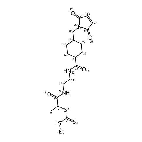 CCSC(=S)SC(C)C(=O)NCCNC(=O)C1CCC(CN2C(=O)C=CC2=O)CC1